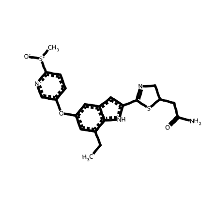 CCc1cc(Oc2ccc([S+](C)[O-])nc2)cc2cc(C3=NCC(CC(N)=O)S3)[nH]c12